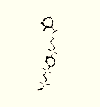 C=C[Si](C)(C)CC[Si](C)(C)c1ccc([Si](C)(C)CCCOC(=O)c2ccccc2C)cc1